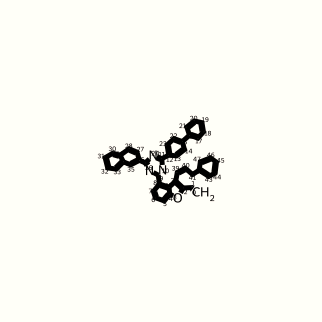 C=Cc1oc2cccc(-c3nc(-c4ccc(-c5ccccc5)cc4)nc(-c4ccc5ccccc5c4)n3)c2c1/C=C\Cc1ccccc1